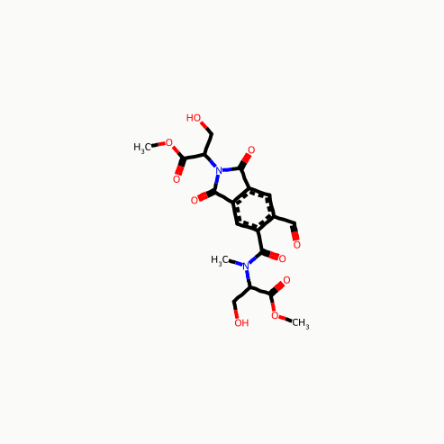 COC(=O)C(CO)N(C)C(=O)c1cc2c(cc1C=O)C(=O)N(C(CO)C(=O)OC)C2=O